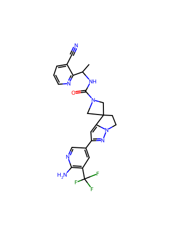 CC(NC(=O)N1CC2(CCn3nc(-c4cnc(N)c(C(F)(F)F)c4)cc32)C1)c1ncccc1C#N